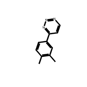 Cc1ccc(-c2ccnnn2)cc1C